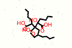 CCCCC(CC)CC(C(=O)O)(C(CCCC)C(=O)O)C(O)(CCCC)C(=O)O